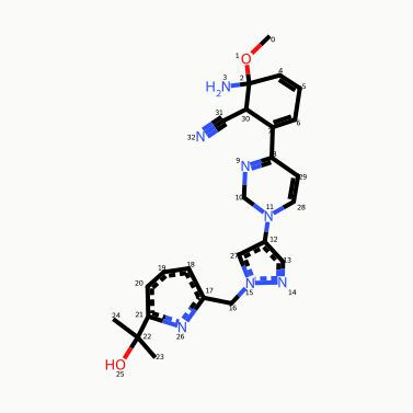 COC1(N)C=CC=C(C2=NCN(c3cnn(Cc4cccc(C(C)(C)O)n4)c3)C=C2)C1C#N